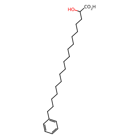 O=C(O)C(O)CCCCCCCCCCCCCCCCc1ccccc1